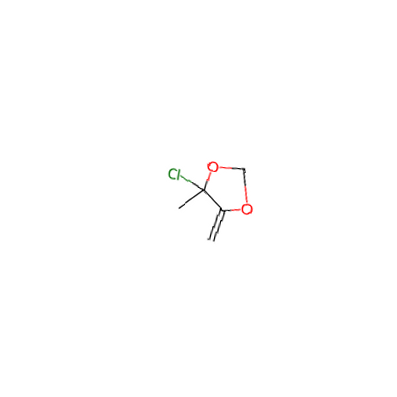 C=C1OCOC1(C)Cl